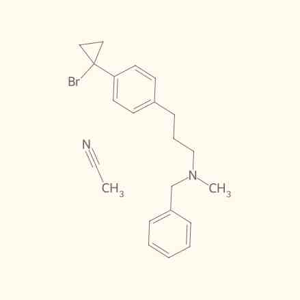 CC#N.CN(CCCc1ccc(C2(Br)CC2)cc1)Cc1ccccc1